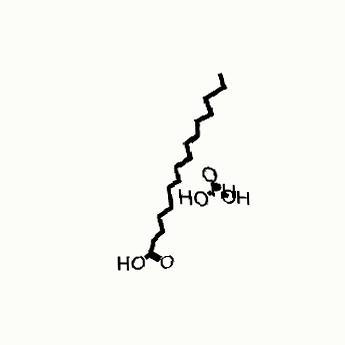 CCCCCCCCCCCCCCCC(=O)O.O=[PH](O)O